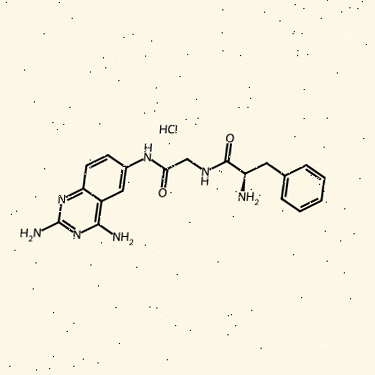 Cl.Nc1nc(N)c2cc(NC(=O)CNC(=O)[C@H](N)Cc3ccccc3)ccc2n1